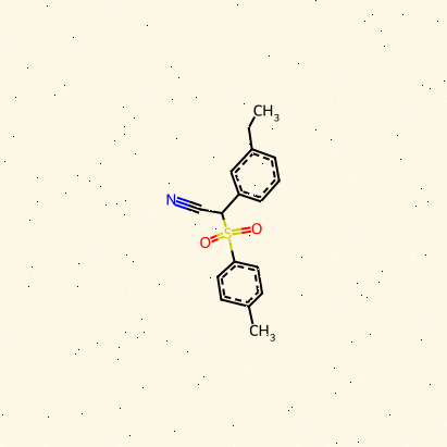 CCc1cccc(C(C#N)S(=O)(=O)c2ccc(C)cc2)c1